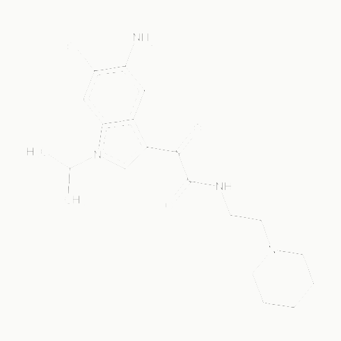 CC(C)n1cc(C(=O)C(=O)NCCN2CCCCC2)c2cc(N)c(Cl)cc21